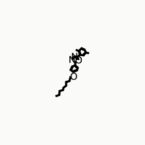 CCCCCCCCCOc1ccc(-c2nnc(-c3cc(C)ccc3C)o2)cc1